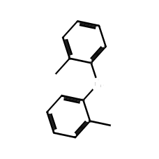 Cc1cccc[c]1[Ge][c]1ccccc1C